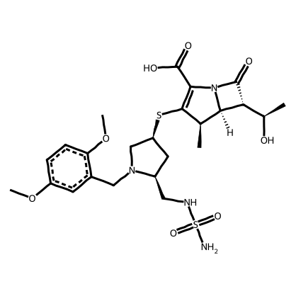 COc1ccc(OC)c(CN2C[C@@H](SC3=C(C(=O)O)N4C(=O)[C@H]([C@@H](C)O)[C@H]4[C@H]3C)C[C@H]2CNS(N)(=O)=O)c1